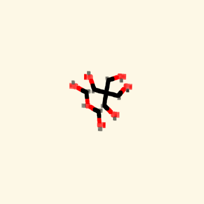 OCC(CO)(CO)CO.OCOCO